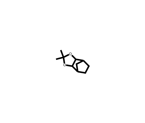 CC1(C)OC2C3CCC(C3)C2O1